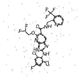 O=C(NCc1ncccc1C(F)(F)F)c1cc2nc(Nc3c(Cl)cc(F)cc3Cl)[nH]c2nc1OCC(F)F